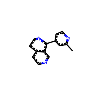 Cc1cc(-c2nccc3ccncc23)ccn1